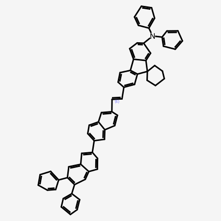 C(=C\c1ccc2cc(-c3ccc4cc(-c5ccccc5)c(-c5ccccc5)cc4c3)ccc2c1)/c1ccc2c(c1)C1(CCCCC1)c1cc(N(c3ccccc3)c3ccccc3)ccc1-2